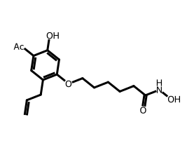 C=CCc1cc(C(C)=O)c(O)cc1OCCCCCC(=O)NO